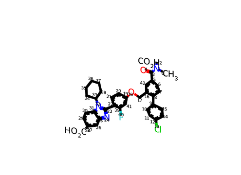 CN(C(=O)O)C(=O)c1ccc(-c2ccc(Cl)cc2)c(COc2ccc(-c3nc4cc(C(=O)O)ccc4n3C3CCCCC3)c(F)c2)c1